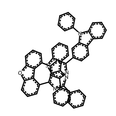 c1ccc(-c2nc(-c3ccc4c5ccccc5n(-c5ccccc5)c4c3)nc(-c3cccc4oc5cccc(-c6nc(-c7ccccc7)nc7c6sc6ccccc67)c5c34)n2)cc1